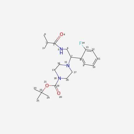 CC(C)C(=O)NCC(c1ccccc1F)N1CCN(C(=O)OC(C)(C)C)CC1